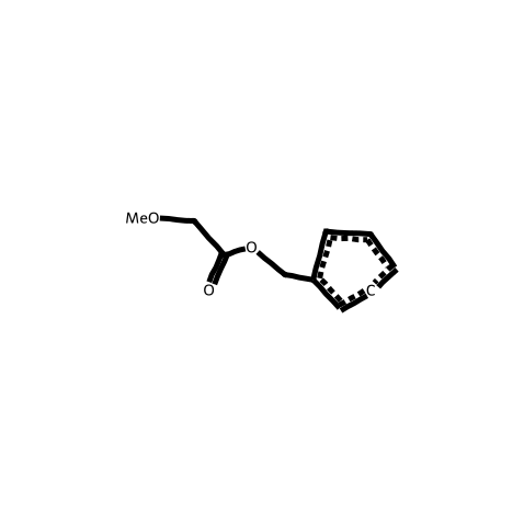 COCC(=O)OCc1ccccc1